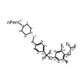 CCCCC[C@H]1CC[C@H](CCc2ccc(C(F)(F)Oc3cc(F)c(OC(F)F)c(F)c3)cc2)CC1